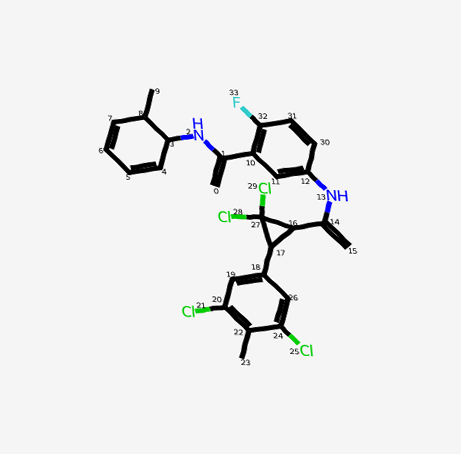 C=C(NC1C=CC=CC1C)c1cc(NC(=C)C2C(c3cc(Cl)c(C)c(Cl)c3)C2(Cl)Cl)ccc1F